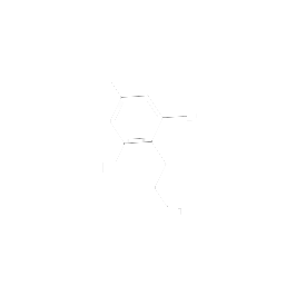 CCc1cc(C)cc(CC)c1CCC(C)C